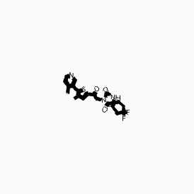 Cc1ccncc1-c1sc(C(=O)CN2C(=O)NC3(CCC(F)(F)CC3)C2=O)cc1C